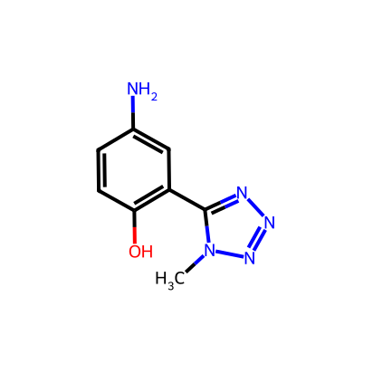 Cn1nnnc1-c1cc(N)ccc1O